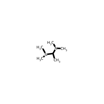 CC(N(C)C)[Si](C)C